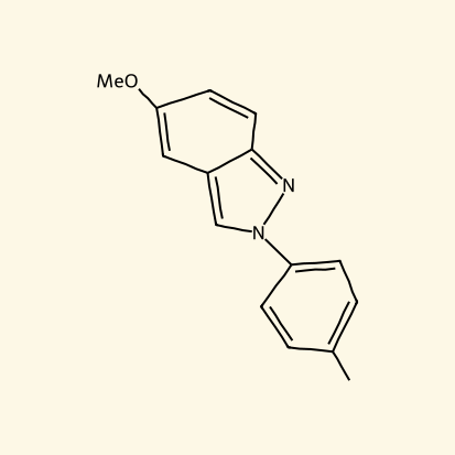 COc1ccc2nn(-c3ccc(C)cc3)cc2c1